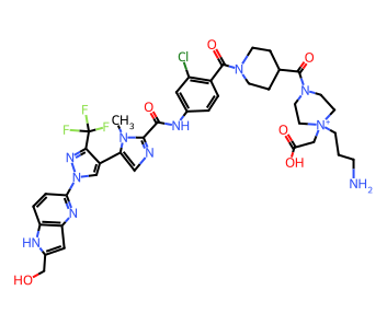 Cn1c(-c2cn(-c3ccc4[nH]c(CO)cc4n3)nc2C(F)(F)F)cnc1C(=O)Nc1ccc(C(=O)N2CCC(C(=O)N3CC[N+](CCCN)(CC(=O)O)CC3)CC2)c(Cl)c1